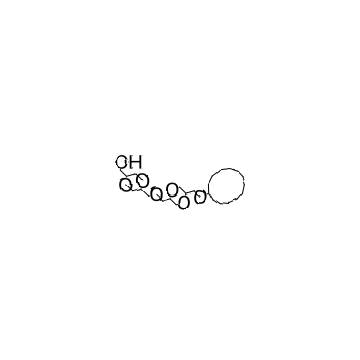 OCC1COC(COCC2COC(COC3CCCCCCCCCCCC3)CO2)CO1